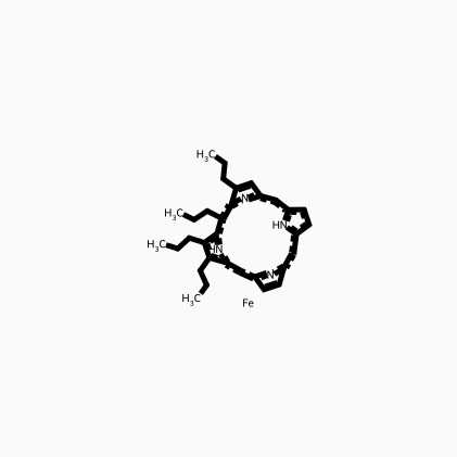 CCCC1=Cc2cc3ccc(cc4nc(cc5[nH]c(c(CCC)c1n2)c(CCC)c5CCC)C=C4)[nH]3.[Fe]